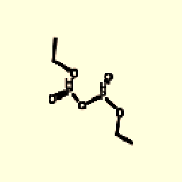 CCO[PH](=O)O[PH](=O)OCC